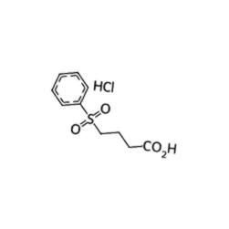 Cl.O=C(O)CCCS(=O)(=O)c1ccccc1